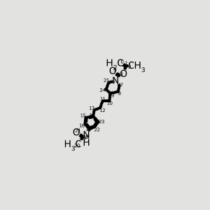 C=C(C)OC(=O)N1CCC(CCCCc2ccc(NC(C)=O)cc2)CC1